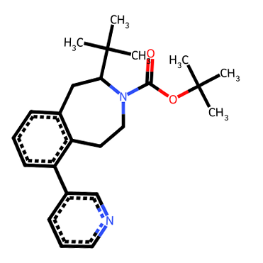 CC(C)(C)OC(=O)N1CCc2c(cccc2-c2cccnc2)CC1C(C)(C)C